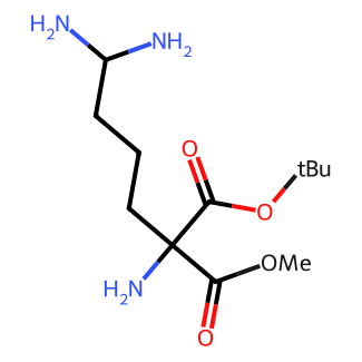 COC(=O)C(N)(CCCC(N)N)C(=O)OC(C)(C)C